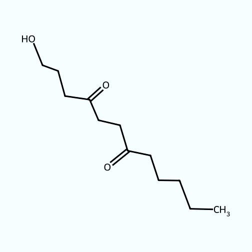 CCCCCC(=O)CCC(=O)CCCO